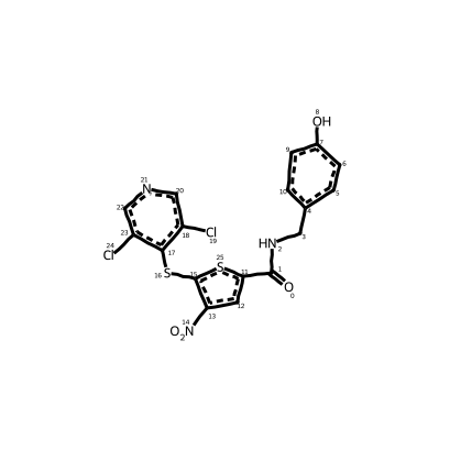 O=C(NCc1ccc(O)cc1)c1cc([N+](=O)[O-])c(Sc2c(Cl)cncc2Cl)s1